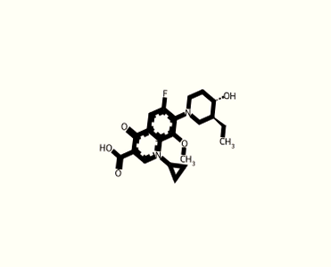 CC[C@H]1CN(c2c(F)cc3c(=O)c(C(=O)O)cn(C4CC4)c3c2OC)CC[C@@H]1O